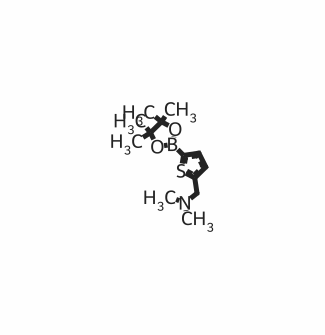 CN(C)Cc1ccc(B2OC(C)(C)C(C)(C)O2)s1